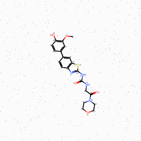 COc1cc(-c2ccc3nc(NC(=O)NCC(=O)N4CCOCC4)sc3c2)ccc1O